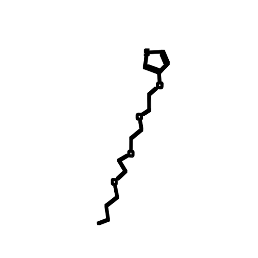 CCCCOCCOCCOCCOc1ccsc1